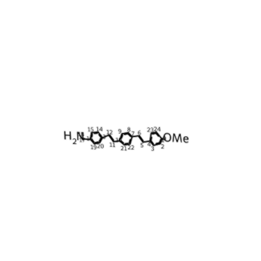 COc1ccc(/C=C/c2ccc(/C=C/c3ccc(CN)cc3)cc2)cc1